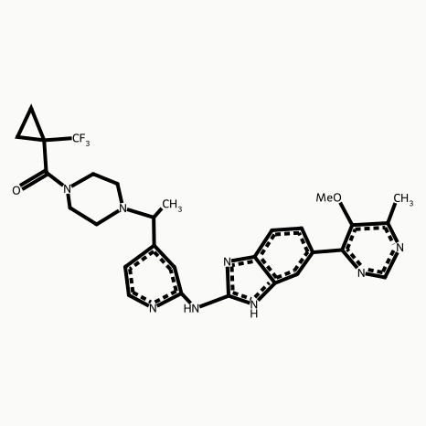 COc1c(C)ncnc1-c1ccc2nc(Nc3cc(C(C)N4CCN(C(=O)C5(C(F)(F)F)CC5)CC4)ccn3)[nH]c2c1